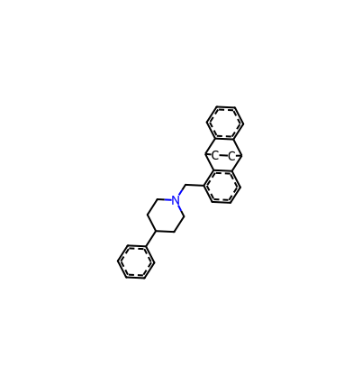 c1ccc(C2CCN(Cc3cccc4c3C3CCC4c4ccccc43)CC2)cc1